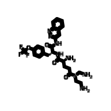 NCCN(CN)C(=O)CC[C@H](N)C(=O)N[C@H](Cc1ccc(OC(F)(F)F)cc1)C(=O)Nc1cc2ccccc2nn1